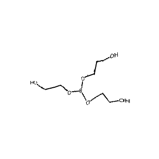 OCCOB(OCCO)OCCO